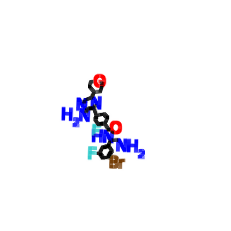 NCC(NC(=O)c1ccc(-c2nc(C3CCOCC3)cnc2N)cc1F)c1cc(F)cc(Br)c1